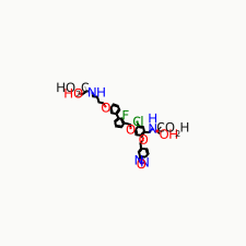 O=C(O)[C@@H](CO)NCCCCOc1cccc(-c2cccc(COc3cc(OCc4ccc5nonc5c4)c(CN[C@H](CO)C(=O)O)cc3Cl)c2F)c1